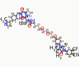 Cc1ncsc1-c1ccc(CNC(=O)[C@@H]2CCCN2C(=O)C(NC(=O)CCCCOCCOCCOc2ccc(N3C(=S)N(c4ccc(C#N)c(C(F)(F)F)c4)C(=O)C3(C)C)cc2)C(C)(C)C)cc1